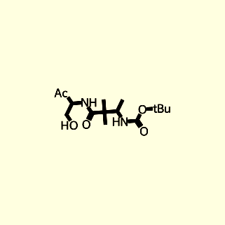 CC(=O)C(CO)NC(=O)C(C)(C)C(C)NC(=O)OC(C)(C)C